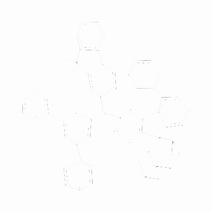 CC1(C)c2ccccc2-c2ccc(N(c3cc(-c4ccccc4)cc(-c4ccccc4)c3)c3ccc4c(c3)-c3c(-c5ccccc5)cccc3C43C4CC5CC(C4)CC3C5)cc21